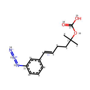 CC(C)(CC/C=C/c1cccc(N=[N+]=[N-])c1)OC(=O)O